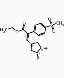 CCOC(=O)/C(=C/[C@H]1C[C@@H](F)[C@@H](F)C1)c1ccc(S(C)(=O)=O)cc1